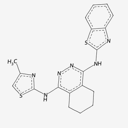 Cc1csc(Nc2nnc(Nc3nc4ccccc4s3)c3c2CCCC3)n1